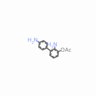 CC(=O)Oc1cccc(-c2ccc(N)cc2)c1N